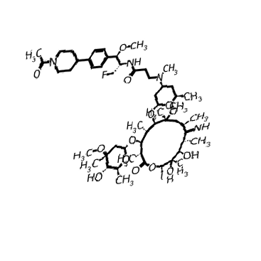 CO[C@H](c1ccc(C2CCN(C(C)=O)CC2)cc1)[C@@H](CF)NC(=O)CCN(C)[C@@H]1C[C@H](O[C@@H]2[C@@H](C)[C@H](O[C@H]3C[C@@](C)(OC)[C@@H](O)[C@H](C)O3)[C@@H](C)C(=O)O[C@H](I)[C@@](C)(O)[C@H](O)[C@@H](C)C(=N)[C@H](C)C[C@@]2(C)OC)O[C@H](C)C1